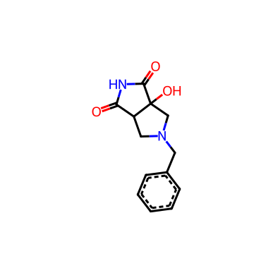 O=C1NC(=O)C2(O)CN(Cc3ccccc3)CC12